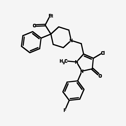 CCC(=O)C1(c2ccccc2)CCN(Cc2c(Cl)c(=O)n(-c3ccc(F)cc3)n2C)CC1